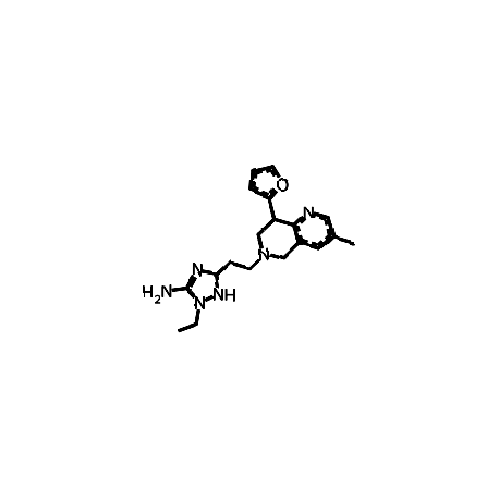 CCN1NC(CCN2Cc3cc(C)cnc3C(c3ccco3)C2)N=C1N